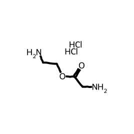 Cl.Cl.NCCOC(=O)CN